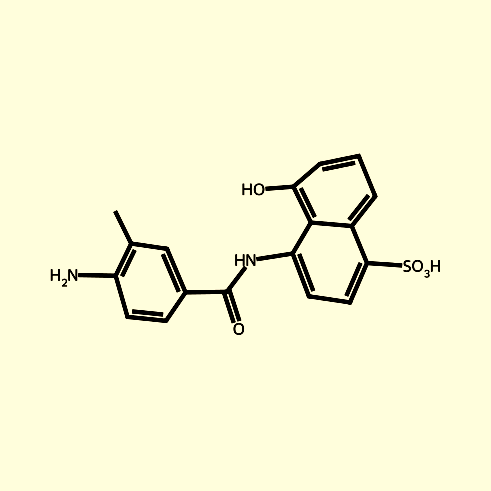 Cc1cc(C(=O)Nc2ccc(S(=O)(=O)O)c3cccc(O)c23)ccc1N